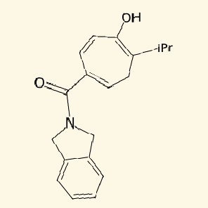 CC(C)C1=C(O)C=CC(C(=O)N2Cc3ccccc3C2)=CC1